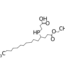 CCCCCCCCCCCC(CCC(=O)OCC)PCCC(=O)O